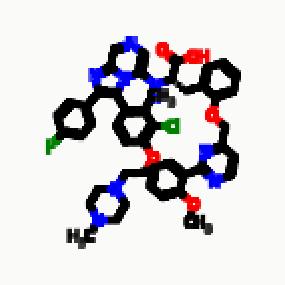 COc1ccccc1-c1nccc(COc2ccccc2C[C@H](Nc2cncc3nc(-c4ccc(F)cc4)c(-c4ccc(OCCN5CCN(C)CC5)c(Cl)c4C)n23)C(=O)O)n1